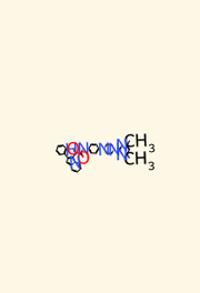 Cc1cc(C)nc(N2CCN(c3ccc(NC(=O)C(=O)c4c(-c5ccccc5)cc5ccccn45)cc3)CC2)n1